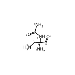 NCC(N)(C=O)NC(N)=O